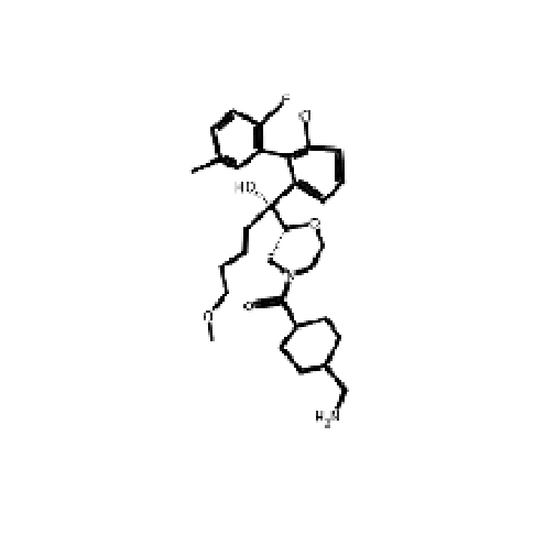 COCCCC[C@@](O)(c1cccc(Cl)c1-c1cc(C)ccc1F)[C@H]1CN(C(=O)C2CCC(CN)CC2)CCO1